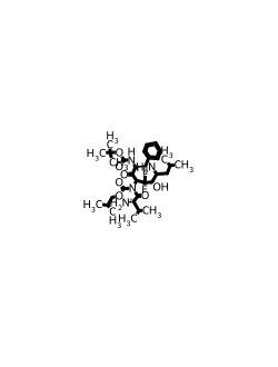 CC(C)COC(=O)N(C(=O)[C@@H](N)C(C)C)C(C(=O)[C@H](Cc1ccccc1)NC(=O)OC(C)(C)C)C(F)(F)C(O)C(N)CC(C)C